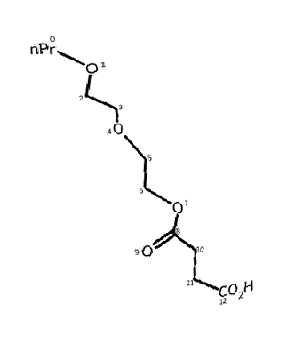 CCCOCCOCCOC(=O)CCC(=O)O